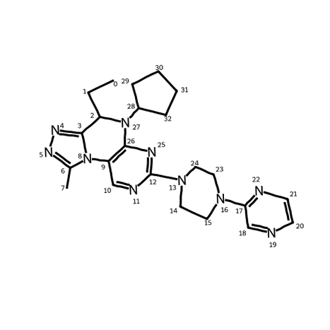 CCC1c2nnc(C)n2-c2cnc(N3CCN(c4cnccn4)CC3)nc2N1C1CCCC1